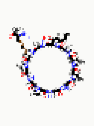 C/C=C/C[C@@H](C)[C@@H](O)[C@@H]1C(=O)N[C@H](CC)C(=O)N(C)[C@H](CSCSC[C@H](N)C(=O)OC)C(=O)N(C)[C@@H](CC(C)C)C(=O)N[C@H](C(C)C)C(=O)N(C)[C@H](CC(C)C)C(=O)N[C@H](C)C(=O)N[C@@H](C)C(=O)N(C)[C@H](CC(C)C)C(=O)N(C)[C@H](CC(C)C)C(=O)N(C)[C@H](C(C)C)C(=O)N1C